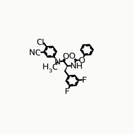 CN(C(=O)[C@H](Cc1cc(F)cc(F)c1)NC(=O)Oc1ccccc1)c1ccc(Cl)c(C#N)c1